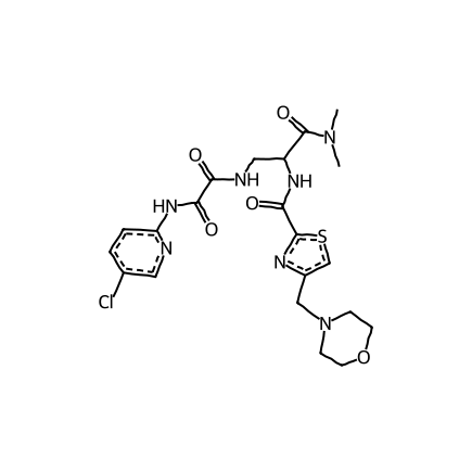 CN(C)C(=O)C(CNC(=O)C(=O)Nc1ccc(Cl)cn1)NC(=O)c1nc(CN2CCOCC2)cs1